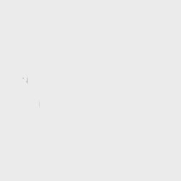 CC1CCC(C2CCC(c3ccc(C#N)c(F)c3)CC2)CC1